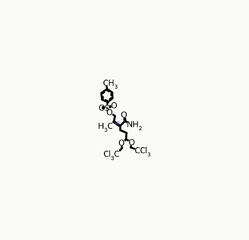 C/C(COS(=O)(=O)c1ccc(C)cc1)=C(\CCC(OCC(Cl)(Cl)Cl)OCC(Cl)(Cl)Cl)C(N)=O